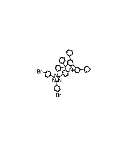 Brc1ccc(-c2nc(-c3ccc(Br)cc3)nc(-c3ccc4c(c3)C(c3ccccc3)(c3ccccc3)c3cc(-c5ccccc5)cc5c6cc(-c7ccccc7)ccc6n-4c35)n2)cc1